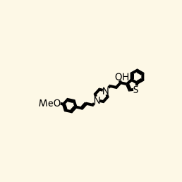 COc1ccc(C=CCN2CCN(CCC(O)c3csc4ccccc34)CC2)cc1